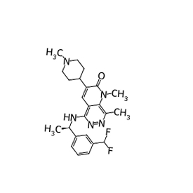 Cc1nnc(N[C@H](C)c2cccc(C(F)F)c2)c2cc(C3CCN(C)CC3)c(=O)n(C)c12